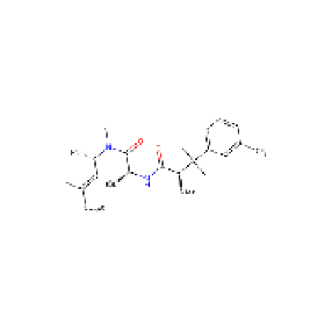 CCOC(=O)/C(C)=C/[C@H](C(C)C)N(C)C(=O)[C@@H](NC(=O)[C@H](NC)C(C)(C)c1cccc(C(F)(F)F)c1)C(C)(C)C